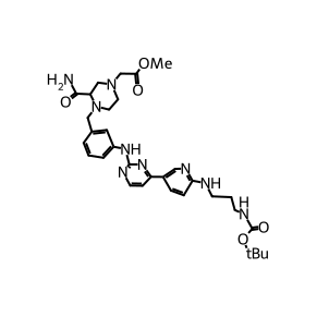 COC(=O)CN1CCN(Cc2cccc(Nc3nccc(-c4ccc(NCCCNC(=O)OC(C)(C)C)nc4)n3)c2)C(C(N)=O)C1